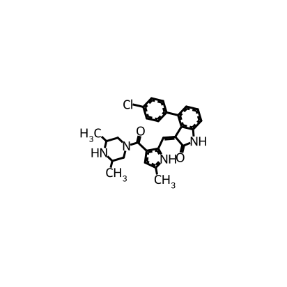 Cc1cc(C(=O)N2CC(C)NC(C)C2)c(C=C2C(=O)Nc3cccc(-c4ccc(Cl)cc4)c32)[nH]1